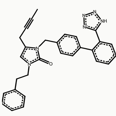 CC#CCc1cn(CCc2ccccc2)c(=O)n1Cc1ccc(-c2ccccc2-c2nnn[nH]2)cc1